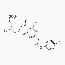 CCC(=NOCC(C)Oc1ccc(Cl)cc1)C1C(=O)CC(CC(CC)COS(=O)(=O)O)C=C1O